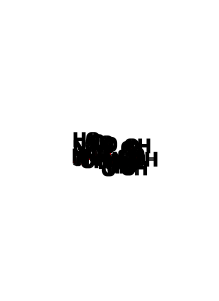 CC(=O)Nc1cc(N=Nc2cc(OCCCS(=O)(=O)O)c(N=Nc3c(C)c(C#N)c4nc5ccccc5n4c3O)cc2C)c(SCCCS(=O)(=O)O)cc1N=Nc1nc2c(S(=O)(=O)O)cc3c(S(=O)(=O)O)cc(S(=O)(=O)O)cc3c2s1